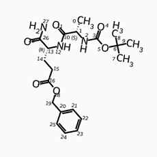 C[C@H](NC(=O)OC(C)(C)C)C(=O)N[C@H](CCC(=O)OCc1ccccc1)C(N)=O